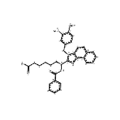 CCC(=O)CCCCC[C@H](NC(=O)c1ccccc1)c1nc2c3ccccc3ccc2n1Cc1ccc(OC)c(OC)c1